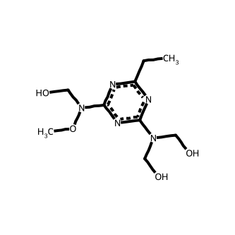 CCc1nc(N(CO)CO)nc(N(CO)OC)n1